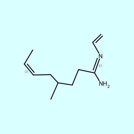 C=C/N=C(/N)CCC(C)C/C=C\C